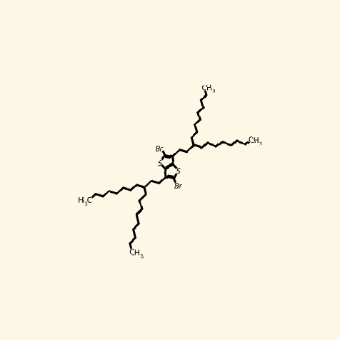 CCCCCCCCCC(CCCCCCCC)CCc1c(Br)sc2c(CCC(CCCCCCCC)CCCCCCCCC)c(Br)sc12